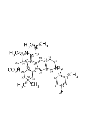 Cc1cc(F)ccc1CN1CCc2cc(-c3c(CN(C)C)nc(C)c(CC(=O)O)c3N3CCC(C)(C)CC3)ccc2C1